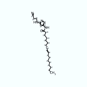 CCCCCCCCC=CCCCCCCCC(=O)Nc1nnc(NCCC#N)s1